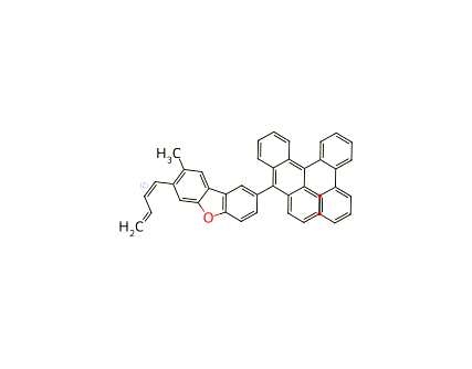 C=C/C=C\c1cc2oc3ccc(-c4c5ccccc5c(-c5ccccc5-c5ccccc5)c5ccccc45)cc3c2cc1C